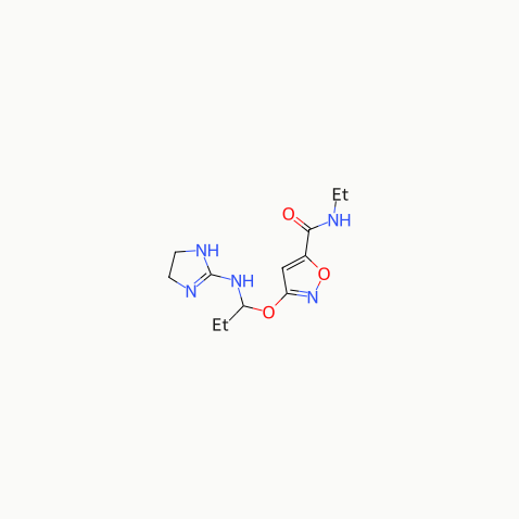 CCNC(=O)c1cc(OC(CC)NC2=NCCN2)no1